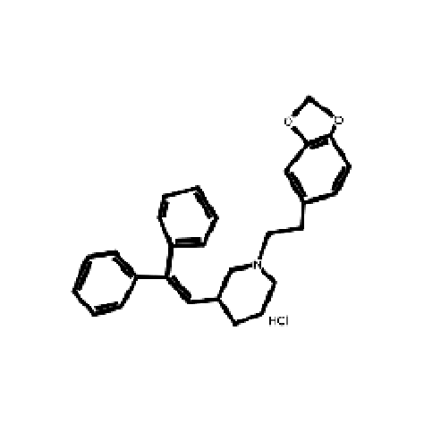 C(=C(c1ccccc1)c1ccccc1)C1CCCN(CCc2ccc3c(c2)OCO3)C1.Cl